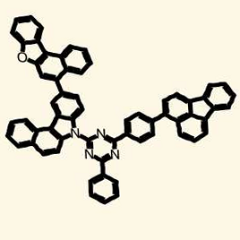 c1ccc(-c2nc(-c3ccc(-c4ccc5c6c(cccc46)-c4ccccc4-5)cc3)nc(-n3c4ccc(-c5cc6oc7ccccc7c6c6ccccc56)cc4c4c5ccccc5ccc43)n2)cc1